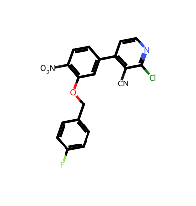 N#Cc1c(-c2ccc([N+](=O)[O-])c(OCc3ccc(F)cc3)c2)ccnc1Cl